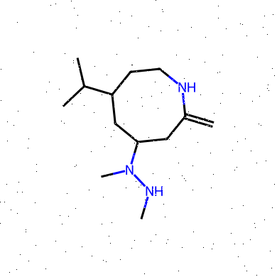 C=C1CC(N(C)NC)CC(C(C)C)CCN1